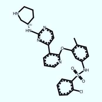 Cc1ccc(NS(=O)(=O)c2ccccc2Cl)cc1Oc1ncccc1-c1ccnc(N[C@H]2CCCNC2)n1